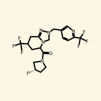 O=C(C1CC(C(F)(F)F)CC2=NN(Cc3ccc(C(F)(F)F)nc3)CN21)N1CC[C@H](F)C1